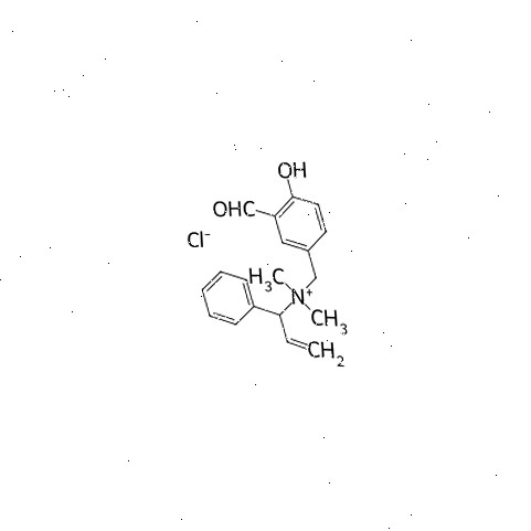 C=CC(c1ccccc1)[N+](C)(C)Cc1ccc(O)c(C=O)c1.[Cl-]